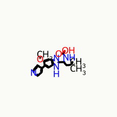 COc1cc2nc(C(CC(C)C)NC(=O)O)[nH]c2cc1-c1ccncc1